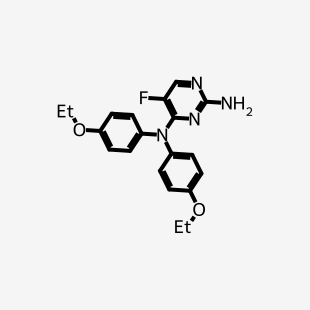 CCOc1ccc(N(c2ccc(OCC)cc2)c2nc(N)ncc2F)cc1